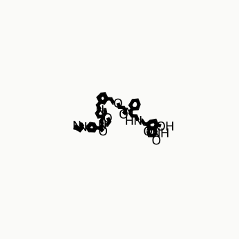 O=C1COc2c(CCNCCN(C(=O)CCOCCc3cccc(CN4CCC5(CC4)CN(C(=O)c4ccc(-n6ccnc6)cc4)CCO5)c3)C3CCCCC3)ccc(O)c2N1